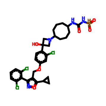 O=C(NC1CCCC(N2CC(O)(c3ccc(OCc4c(-c5c(Cl)cccc5Cl)noc4C4CC4)cc3Cl)C2)CCC1)N[SH](=O)=O